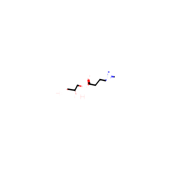 CN(C)CCCC(=O)OC[C@@H](O)CO